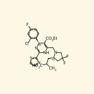 CCOC(=O)C1=C(CN2CC(F)(F)C[C@H]2CC(C)C(=O)O)NC(c2nccs2)=N[C@H]1c1ccc(F)cc1Cl